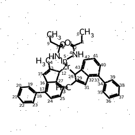 CCC(=O)[NH][In]([NH]C(=O)CC)[Zr]([CH]1C(C)=Cc2c(-c3ccccc3)cccc21)[CH]1C(C)=Cc2c(-c3ccccc3)cccc21